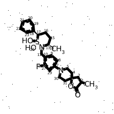 CC1CC2(CCN(c3ccc(CN4[C@@H](C)CC[C@H](c5ccccc5)S4(O)O)c(F)c3)CC2)OC1=O